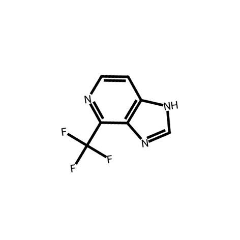 FC(F)(F)c1nccc2[nH]cnc12